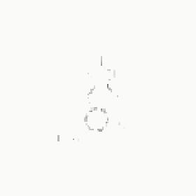 COc1cc(C=C2OC(=S)NC2=O)cc(OC)c1